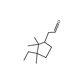 CCC1(C)CCC(CC=O)C1(C)C